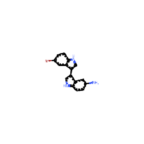 Nc1ccc2[nH]cc(-c3c[nH]c4ccc(Br)cc34)c2c1